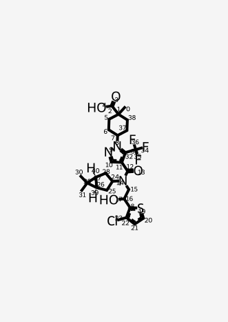 CC1(C(=O)O)CCC(n2ncc(C(=O)N(CC(O)c3sccc3Cl)C3C[C@@H]4[C@H](C3)C4(C)C)c2C(F)(F)F)CC1